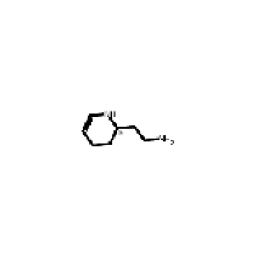 NCC[C@H]1CCC=CN1